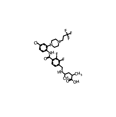 CC(CC(C)C(=O)O)NCc1ccc(C(=O)Nc2ccc(Cl)cc2N2CCN(CCC(F)(F)F)CC2)c(F)c1F